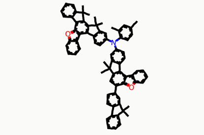 Cc1ccc(N(c2ccc3c(c2)C(C)(C)c2cc(-c4ccc5c(c4)C(C)(C)c4ccccc4-5)c4oc5ccccc5c4c2-3)c2ccc3c(c2)C(C)(C)c2c4c(c5oc6ccccc6c5c2-3)-c2ccccc2C4(C)C)c(C)c1